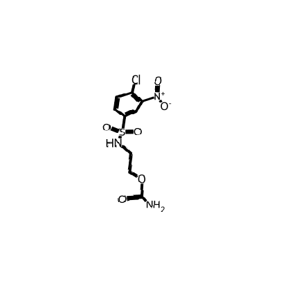 NC(=O)OCCNS(=O)(=O)c1ccc(Cl)c([N+](=O)[O-])c1